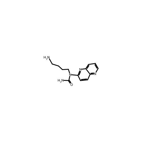 NCCCCN(C(N)=O)c1ccc2ncccc2n1